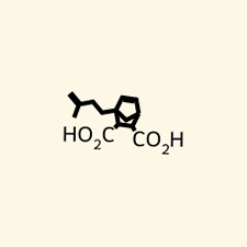 C=C(C)CCC12C=CC(C1)C(C(=O)O)C2C(=O)O